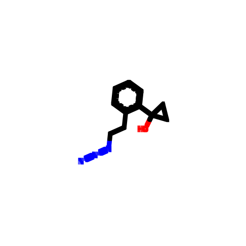 [N-]=[N+]=NCCc1ccccc1C1(O)CC1